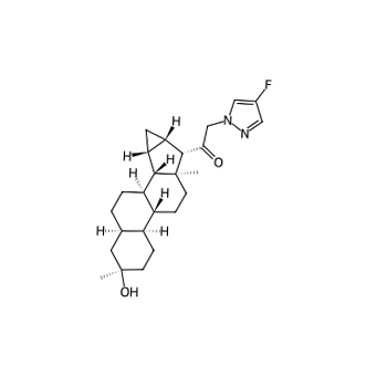 C[C@@]1(O)CC[C@H]2[C@H](CC[C@@H]3[C@@H]2CC[C@@]2(C)[C@H]3[C@@H]3C[C@@H]3[C@@H]2C(=O)Cn2cc(F)cn2)C1